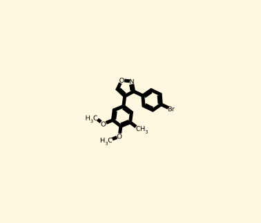 COc1cc(-c2conc2-c2ccc(Br)cc2)cc(C)c1OC